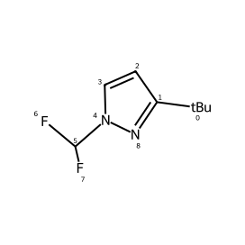 CC(C)(C)c1ccn(C(F)F)n1